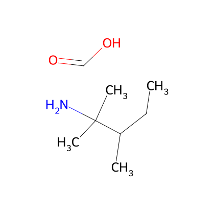 CCC(C)C(C)(C)N.O=CO